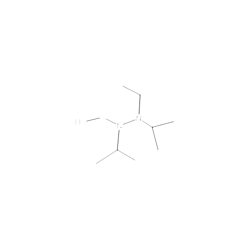 CCN(C(C)C)N(SS)C(C)C